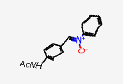 CC(=O)Nc1ccc(C=[N+]([O-])c2ccccc2)cc1